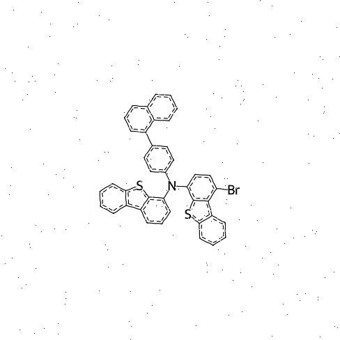 Brc1ccc(N(c2ccc(-c3cccc4ccccc34)cc2)c2cccc3c2sc2ccccc23)c2sc3ccccc3c12